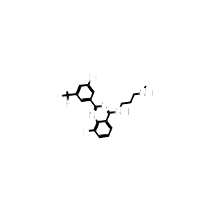 CNCCCNc1nc(-c2cc(Br)cc(C(F)(F)F)c2)nc2c(F)cccc12